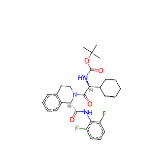 CC(C)(C)OC(=O)N[C@H](C(=O)N1CCc2ccccc2[C@H]1C(=O)Nc1c(F)cccc1F)C1CCCCC1